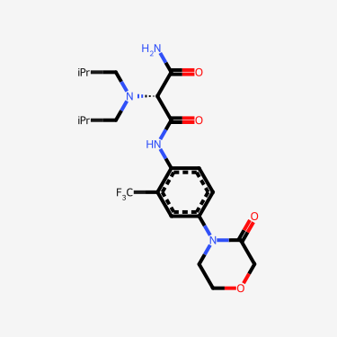 CC(C)CN(CC(C)C)[C@H](C(N)=O)C(=O)Nc1ccc(N2CCOCC2=O)cc1C(F)(F)F